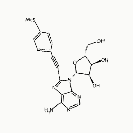 CSc1ccc(C#Cc2nc3c(N)ncnc3n2[C@@H]2O[C@H](CO)[C@@H](O)[C@H]2O)cc1